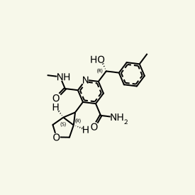 CNC(=O)c1nc([C@H](O)c2cccc(C)c2)cc(C(N)=O)c1C1[C@H]2COC[C@@H]12